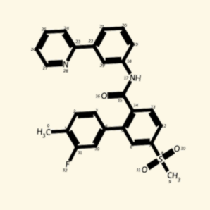 Cc1ccc(-c2cc(S(C)(=O)=O)ccc2C(=O)Nc2cccc(-c3ccccn3)c2)cc1F